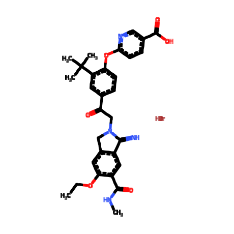 Br.CCOc1cc2c(cc1C(=O)NC)C(=N)N(CC(=O)c1ccc(Oc3ccc(C(=O)O)cn3)c(C(C)(C)C)c1)C2